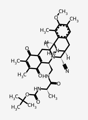 COc1c(C)cc2c(c1C)[C@@H]1[C@@H]3CC4=C(C(=O)C(C)=C(C)C4=O)[C@H](CNC(=O)[C@H](C)NC(=O)OC(C)(C)C)N3[C@@H](C#N)[C@H](C2)N1C